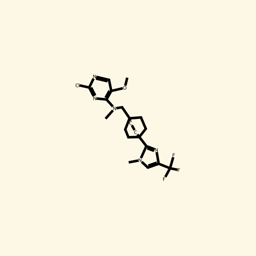 COc1cnc(Cl)nc1N(C)CC12CCC(c3nc(C(F)(F)F)cn3C)(CC1)CC2